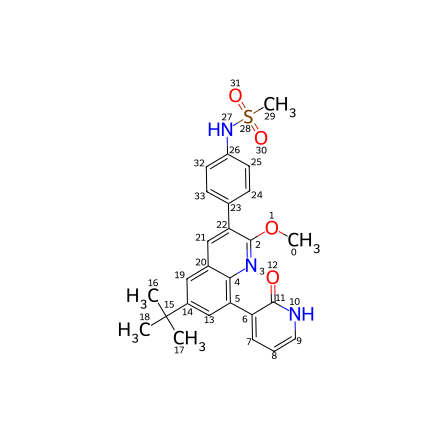 COc1nc2c(-c3ccc[nH]c3=O)cc(C(C)(C)C)cc2cc1-c1ccc(NS(C)(=O)=O)cc1